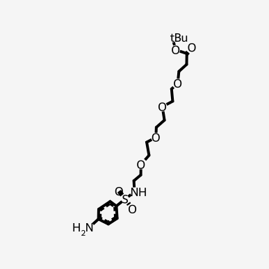 CC(C)(C)OC(=O)CCOCCOCCOCCOCCNS(=O)(=O)c1ccc(N)cc1